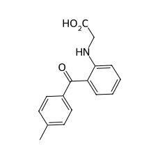 Cc1ccc(C(=O)c2ccccc2NCC(=O)O)cc1